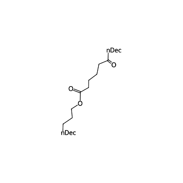 CCCCCCCCCCCCCOC(=O)CCCCC(=O)CCCCCCCCCC